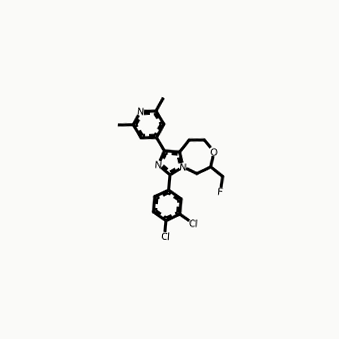 Cc1cc(-c2nc(-c3ccc(Cl)c(Cl)c3)n3c2CCOC(CF)C3)cc(C)n1